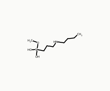 CCCCNCCC[Si](O)(O)OC